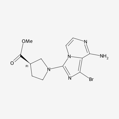 COC(=O)[C@@H]1CCN(c2nc(Br)c3c(N)nccn23)C1